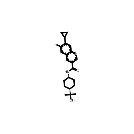 CC(C)(O)[C@H]1CC[C@H](NC(=O)c2cnc3cc(C4CC4)c(F)cc3c2)CC1